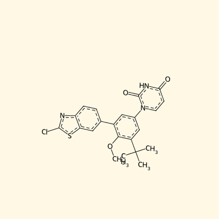 COc1c(-c2ccc3nc(Cl)sc3c2)cc(-n2ccc(=O)[nH]c2=O)cc1C(C)(C)C